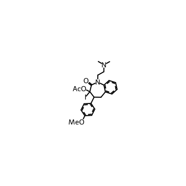 COc1ccc(C2Cc3ccccc3N(CCN(C)C)C(=O)C2(I)OC(C)=O)cc1